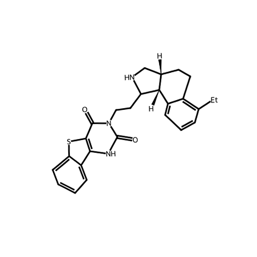 CCc1cccc2c1CC[C@H]1CNC(CCn3c(=O)[nH]c4c(sc5ccccc54)c3=O)[C@@H]21